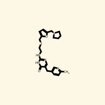 Cc1ccc(Cc2cnc(NCCSCc3ccc(CN4CCCC4)o3)[nH]c2=O)cn1